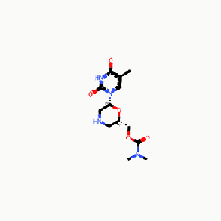 Cc1cn([C@H]2CNC[C@@H](COC(=O)N(C)C)O2)c(=O)[nH]c1=O